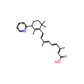 CC(C=CC1=C(C)C(c2ccccn2)CCC1(C)C)=CC=CC(C)=CC(O)=S